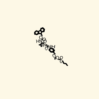 CCCCOC(=O)COC(C)OCc1ccc(NC(=O)CNC(=O)C(NC(=O)OCC2c3ccccc3-c3ccccc32)C(C)C)cc1